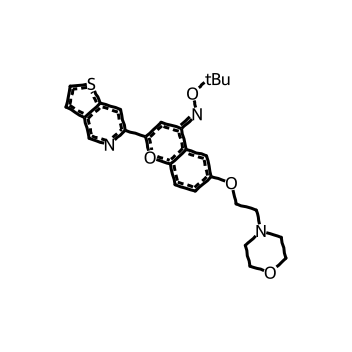 CC(C)(C)ON=c1cc(-c2cc3sccc3cn2)oc2ccc(OCCN3CCOCC3)cc12